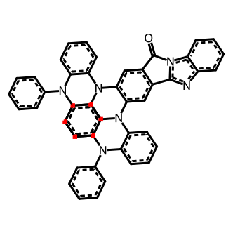 O=C1c2cc(N3c4ccccc4N(c4ccccc4)c4ccccc43)c(N3c4ccccc4N(c4ccccc4)c4ccccc43)cc2-c2nc3ccccc3n21